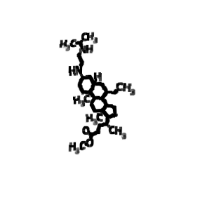 CC[C@@H]1C[C@H]2C[C@@H](NCCNC(C)C)CC[C@]2(C)C2CC[C@@]3(C)C(CCC3[C@H](C)CCC(=O)OC)C21